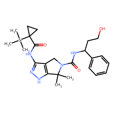 CC1(C)c2[nH]nc(NC(=O)C3([Si](C)(C)C)CC3)c2CN1C(=O)NC(CCO)c1ccccc1